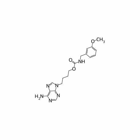 COc1cccc(CNC(=O)OCCCCn2cnc3c(N)ncnc32)c1